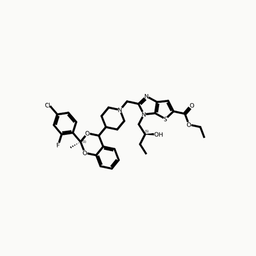 CCOC(=O)c1cc2nc(CN3CCC(C4O[C@](C)(c5ccc(Cl)cc5F)Oc5ccccc54)CC3)n(C[C@@H](O)CC)c2s1